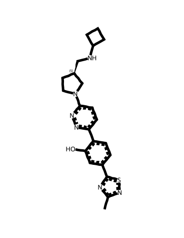 Cc1nsc(-c2ccc(-c3ccc(N4CC[C@@H](CNC5CCC5)C4)nn3)c(O)c2)n1